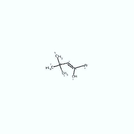 CC(C)C(O)=CC(C)(C)C